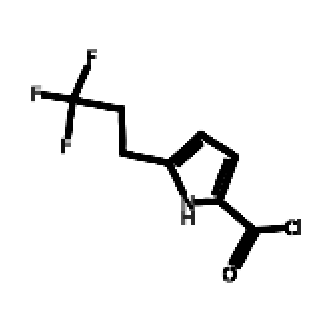 O=C(Cl)c1ccc(CCC(F)(F)F)[nH]1